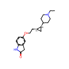 CCN1CCC([C@H]2C[C@H]2CCOc2ccc3c(c2)CC(=O)N3)CC1